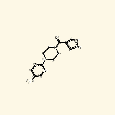 O=C(c1cn[nH]c1)N1CCN(c2ncc(C(F)(F)F)cn2)CC1